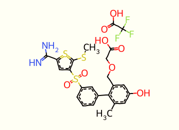 CSc1sc(C(=N)N)cc1S(=O)(=O)c1cccc(-c2c(C)cc(O)cc2COCC(=O)O)c1.O=C(O)C(F)(F)F